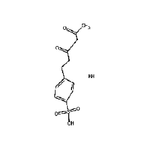 CC(=O)CC(=O)CCc1ccc(S(=O)(=O)O)cc1.[KH]